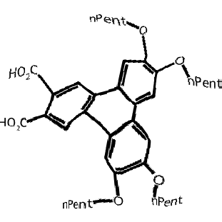 CCCCCOc1cc2c3cc(OCCCCC)c(OCCCCC)cc3c3cc(C(=O)O)c(C(=O)O)cc3c2cc1OCCCCC